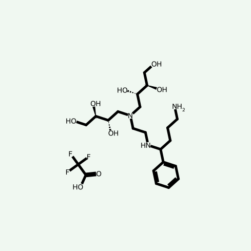 NCCCC(NCCN(C[C@H](O)[C@H](O)CO)C[C@H](O)[C@H](O)CO)c1ccccc1.O=C(O)C(F)(F)F